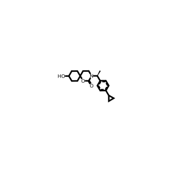 C[C@@H](c1ccc(C2CC2)cc1)N1CCC2(CCC(O)CC2)OC1=O